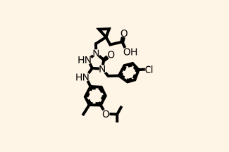 Cc1cc(NC2NN(CC3(CC(=O)O)CC3)C(=O)N2Cc2ccc(Cl)cc2)ccc1OC(C)C